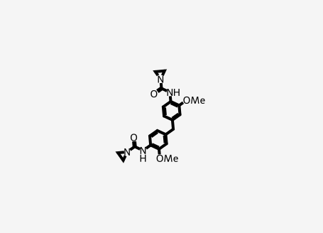 COc1cc(Cc2ccc(NC(=O)N3CC3)c(OC)c2)ccc1NC(=O)N1CC1